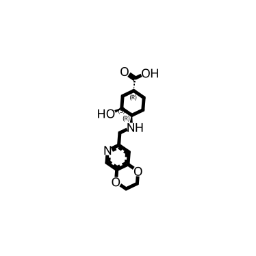 O=C(O)[C@@H]1CC[C@@H](NCc2cc3c(cn2)OCCO3)[C@@H](O)C1